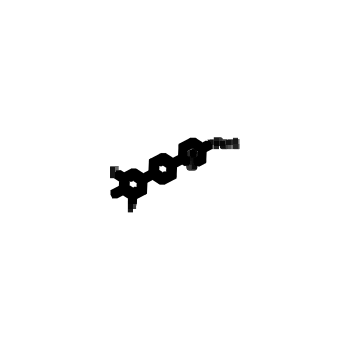 CCCCCC12CCC(c3ccc(-c4cc(F)c(C)c(F)c4)cc3)(OC1)OC2